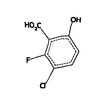 O=C(O)c1c(O)ccc(Cl)c1F